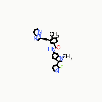 Cc1ccc(C(=O)Nc2ccc3c(-c4cccnc4F)cn(C)c3c2)cc1C#Cc1cnc2cccnn12